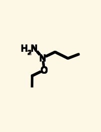 CCCN(N)OCC